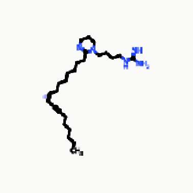 CCCCCCC#C/C=C\CCCCCCCC1=NCCCN1CCCCNC(=N)N